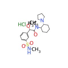 CNS(=O)(=O)c1cccc(C(OC)C(=O)N(C)[C@@H]2CCCC[C@H]2N2CCCC2)c1.Cl